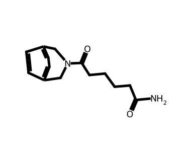 NC(=O)CCCCC(=O)N1Cc2ccc(cc2)C1